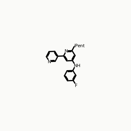 CCCC(C)c1cc(Nc2cccc(F)c2)cc(-c2cccnc2)n1